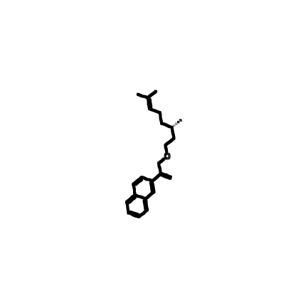 C=C(COCC[C@@H](C)CCC=C(C)C)c1ccc2ccccc2c1